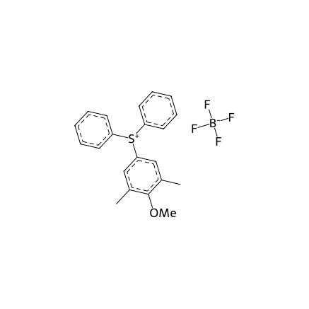 COc1c(C)cc([S+](c2ccccc2)c2ccccc2)cc1C.F[B-](F)(F)F